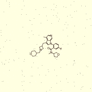 Cc1cncc2c1c(CC1CN(CC3CCOCC3)C1)cn2-c1ccc(F)cc1C(=O)N(C)C1CCOC1